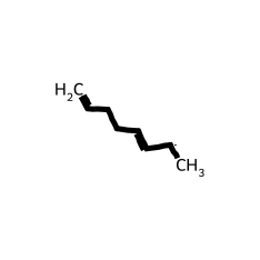 C=CCC/C=C/[CH]C